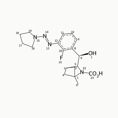 CC12CC(C1)C([C@H](O)c1cccc(/N=N/N3CCCC3)c1F)N2C(=O)O